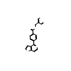 CN/C=C(\C=N)CNC(=O)c1ccc(-c2nccc3[nH]ccc23)cc1